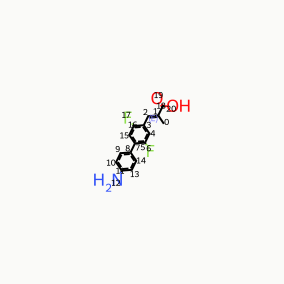 C/C(=C\c1cc(F)c(-c2ccc(N)cc2)cc1F)C(=O)O